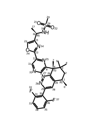 C[C@@H]1CC(C)(C)[C@@](C)(c2cncc(-c3nc([C@@H](C)NS(C)(=O)=O)co3)n2)c2nnc(-c3c(F)cccc3F)cc21